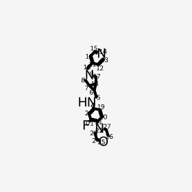 Fc1cc(NCC2C3CN(Cc4ccncc4)CC23)ccc1N1CCOCC1